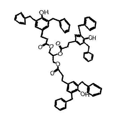 O=C(CCc1cc(Cc2ccccc2)c(O)c(Cc2ccccc2)c1)OCC(COC(=O)CCc1cc(Cc2ccccc2)c(O)c(Cc2ccccc2)c1)OC(=O)CCc1cc(Cc2ccccc2)c(O)c(Cc2ccccc2)c1